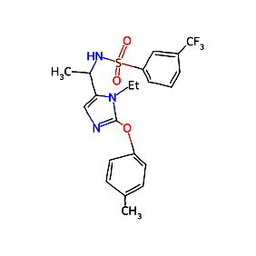 CCn1c(C(C)NS(=O)(=O)c2cccc(C(F)(F)F)c2)cnc1Oc1ccc(C)cc1